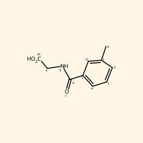 Cc1cccc(C(=O)NCC(=O)O)c1